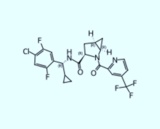 O=C(N[C@@H](c1cc(F)c(Cl)cc1F)C1CC1)[C@H]1C[C@H]2C[C@H]2N1C(=O)c1cc(C(F)(F)F)ccn1